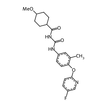 COC1CCC(C(=O)NC(=O)Nc2ccc(Oc3ccc(F)cn3)c(C)c2)CC1